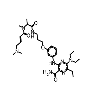 CCc1nc(C(N)=O)c(Nc2cccc(OCCCNC(=O)C(C)N(C)C(=O)C=CCN(C)C)c2)nc1N(CC)CC